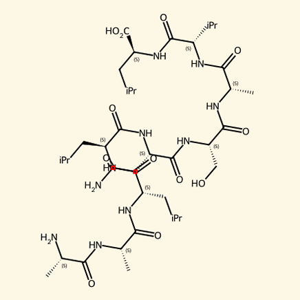 CC(C)C[C@H](NC(=O)[C@@H](NC(=O)[C@H](C)NC(=O)[C@H](CO)NC(=O)[C@H](CC(N)=O)NC(=O)[C@H](CC(C)C)NC(=O)[C@H](CC(C)C)NC(=O)[C@H](C)NC(=O)[C@H](C)N)C(C)C)C(=O)O